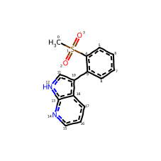 CS(=O)(=O)c1ccc[c]c1-c1c[nH]c2ncccc12